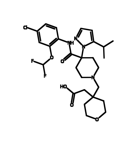 CC(C)c1ccnn1C1(C(=O)Nc2ccc(Cl)cc2OC(F)F)CCN(CC2(CC(=O)O)CCOCC2)CC1